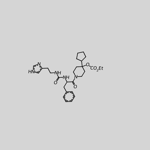 CCOC(=O)OC1(C2CCCC2)CCN(C(=O)C(Cc2ccccc2)NC(=O)NCCc2c[nH]cn2)CC1